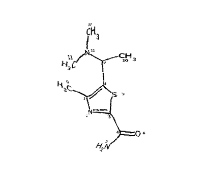 Cc1nc(C(N)=O)sc1C(C)N(C)C